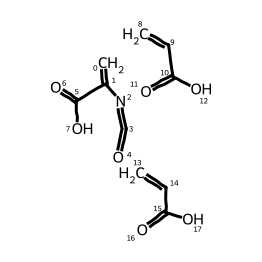 C=C(N=C=O)C(=O)O.C=CC(=O)O.C=CC(=O)O